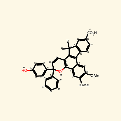 COc1cc2c3c(c4c(c2cc1OC)-c1ccc(C(=O)O)cc1C4(C)C)C=CC(c1ccccc1)(c1ccc(O)cc1)O3